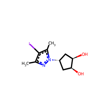 Cc1nn([C@@H]2C[C@@H](O)[C@@H](O)C2)c(C)c1I